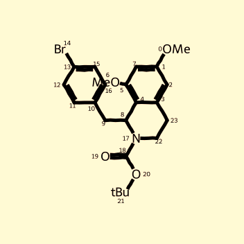 COc1cc2c(c(OC)c1)C(Cc1ccc(Br)cc1)N(C(=O)OC(C)(C)C)CC2